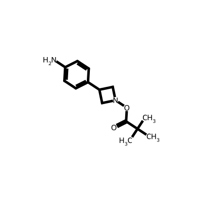 CC(C)(C)C(=O)ON1CC(c2ccc(N)cc2)C1